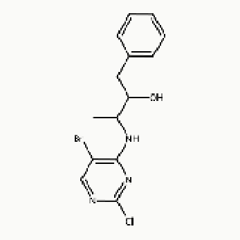 CC(Nc1nc(Cl)ncc1Br)C(O)Cc1ccccc1